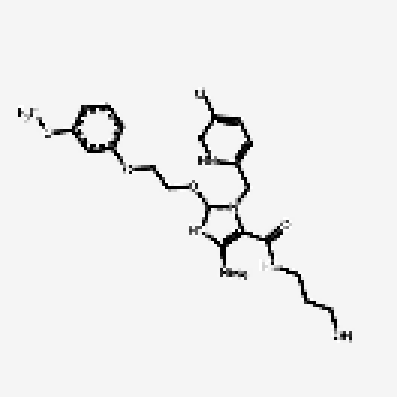 CNC1=C(C(=O)NCCCO)N(CC2=CC=C(Cl)CN2)C(OCCOc2cccc(OC(F)(F)F)c2)N1